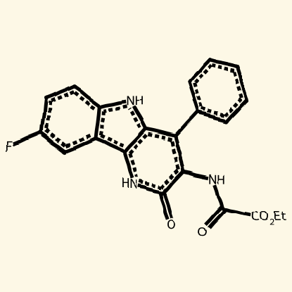 CCOC(=O)C(=O)Nc1c(-c2ccccc2)c2[nH]c3ccc(F)cc3c2[nH]c1=O